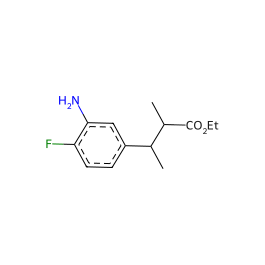 CCOC(=O)C(C)C(C)c1ccc(F)c(N)c1